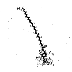 CCCCCCCCCCCCCCCCCCCCCCCCOC(=O)CCc1c(C)cc(C(C)(C)CC(C)(C)C)c(O)c1C